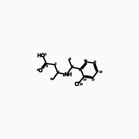 CC(CC(=O)O)NC(C)c1ccccc1Cl